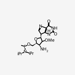 COC1[C@H](C2C=Nc3c2[nH]c(=O)[nH]c3=O)O[C@H](COP(C)N(C(C)C)C(C)C)[C@@H]1N